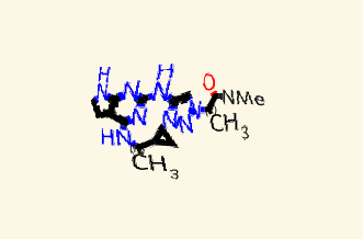 CNC(=O)[C@@H](C)n1cc(Nc2nc(N[C@H](C)C3CC3)c3cc[nH]c3n2)nn1